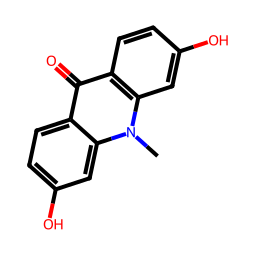 Cn1c2cc(O)ccc2c(=O)c2ccc(O)cc21